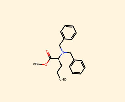 CCCCOC(=O)[C@H](CCC=O)N(Cc1ccccc1)Cc1ccccc1